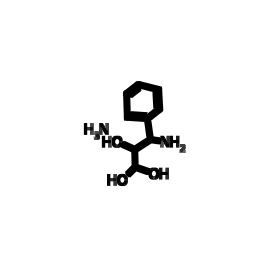 N.NC(c1ccccc1)C(O)C(O)O